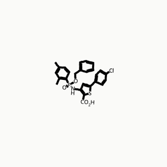 Cc1ccc(P(=O)(Nc2cc(-c3ccc(Cl)cc3)sc2C(=O)O)OCc2ccccc2)c(C)c1